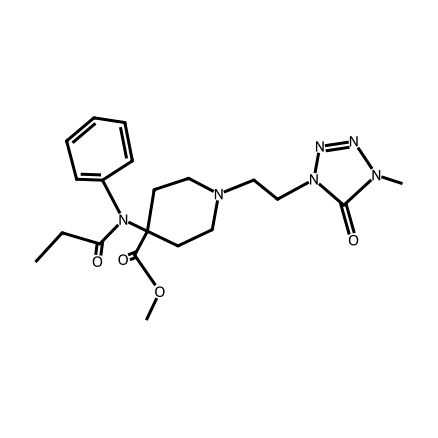 CCC(=O)N(c1ccccc1)C1(C(=O)OC)CCN(CCn2nnn(C)c2=O)CC1